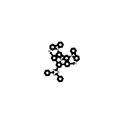 N#Cc1ccc(-c2cc(-c3nc(-c4ccccc4)nc(-c4ccccc4)n3)cc(-c3ccc(C#N)cc3)c2-n2c3ccc(-n4c5ccccc5c5ccccc54)cc3c3cc(-n4c5ccccc5c5ccccc54)ccc32)cc1